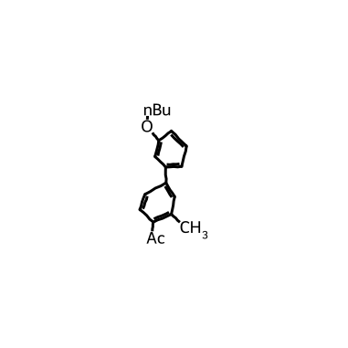 CCCCOc1cccc(-c2ccc(C(C)=O)c(C)c2)c1